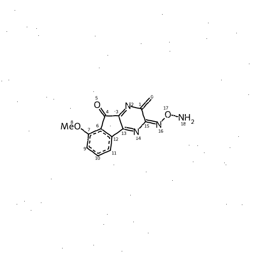 C=C1N=C2C(=O)c3c(OC)cccc3C2=N/C1=N/ON